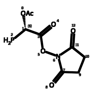 CC(=O)O[C@@H](P)C(=O)ON1C(=O)CCC1=O